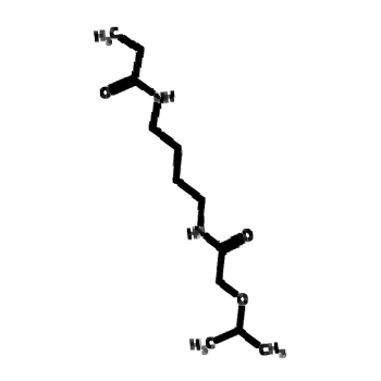 CCC(=O)NCCCCNC(=O)COC(C)C